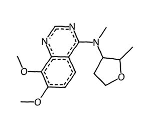 COc1ccc2c(N(C)C3CCOC3C)ncnc2c1OC